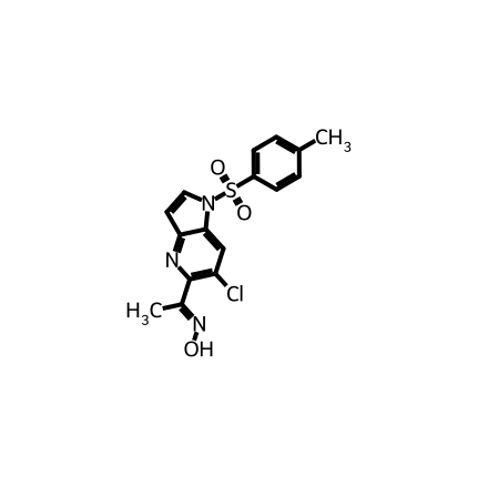 C/C(=N\O)c1nc2ccn(S(=O)(=O)c3ccc(C)cc3)c2cc1Cl